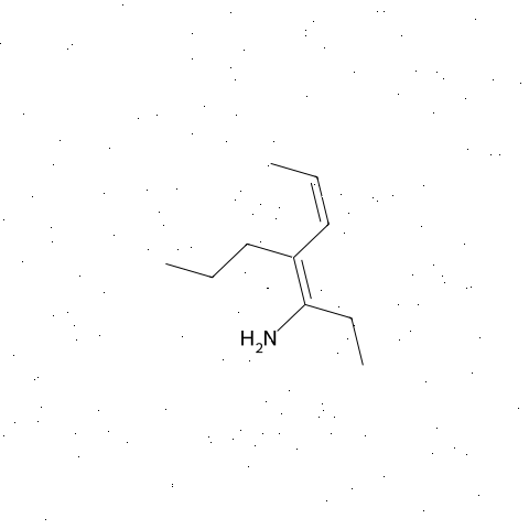 C/C=C\C(CCC)=C(\N)CC